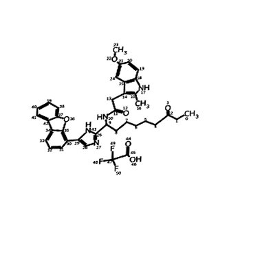 CCC(=O)CCCCCC(NC(=O)Cc1c(C)[nH]c2ccc(OC)cc12)c1ncc(-c2cccc3c2oc2ccccc23)[nH]1.O=C(O)C(F)(F)F